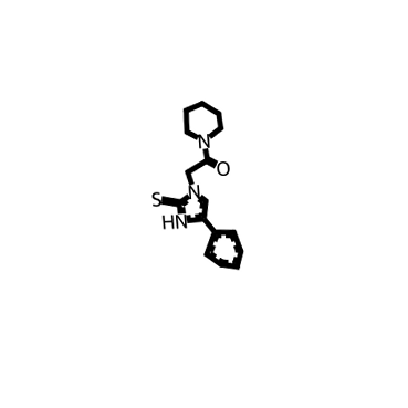 O=C(Cn1cc(-c2ccccc2)[nH]c1=S)N1CCCCC1